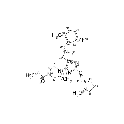 C=CC(=O)N1CCN(c2nc(OC[C@@H]3CCCN3C)nc3c2CN(Cc2cc(F)ccc2C)C3)[C@@H](C)C1